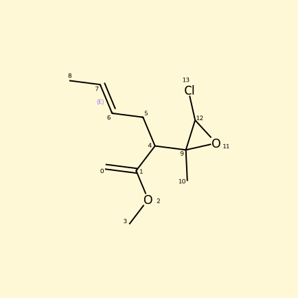 C=C(OC)C(C/C=C/C)C1(C)OC1Cl